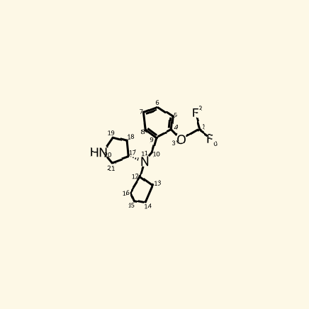 FC(F)Oc1ccccc1CN(C1CCCC1)[C@H]1CCNC1